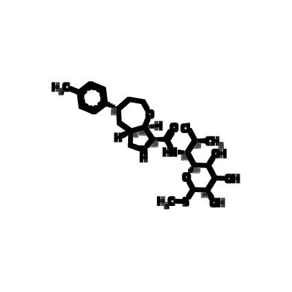 CSC1O[C@H]([C@H](NC(=O)[C@H]2NC[C@@H]3C[C@H](c4ccc(C)cc4)CCO[C@H]32)[C@H](C)Cl)C(O)C(O)[C@H]1O